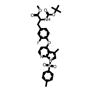 COC(=O)C(Cc1ccc(Oc2ccnc3c2c(C)cn3S(=O)(=O)c2ccc(C)cc2)c(F)c1)NC(=O)OC(C)(C)C